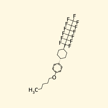 CCCCCOc1ccc([C@H]2CC[C@H](C(F)(F)C(F)(F)C(F)(F)C(F)(F)C(F)(F)C(F)(F)F)CC2)cc1